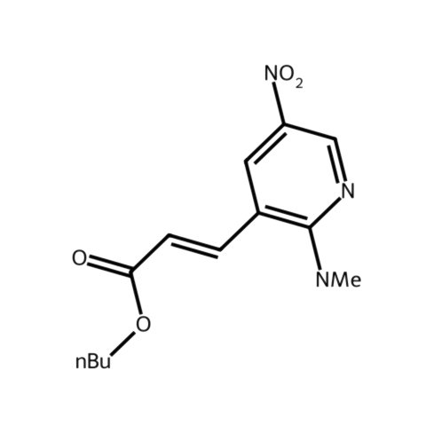 CCCCOC(=O)C=Cc1cc([N+](=O)[O-])cnc1NC